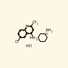 Cl.N[C@@H]1CCC[C@H](Nc2cc(C(F)(F)F)nc3ccc(Cl)cc23)C1